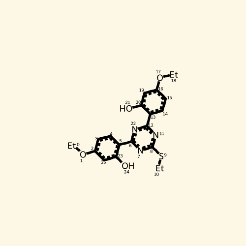 CCOc1ccc(-c2nc(SCC)nc(-c3ccc(OCC)cc3O)n2)c(O)c1